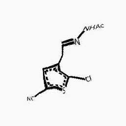 CC(=O)NN=Cc1cc(C#N)sc1Cl